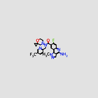 Cn1ncc2c(N)nc3cc(F)c(C(=O)N(Cc4ccc(C(F)(F)F)cn4)N4CCOC5(CC5)C4)cc3c21